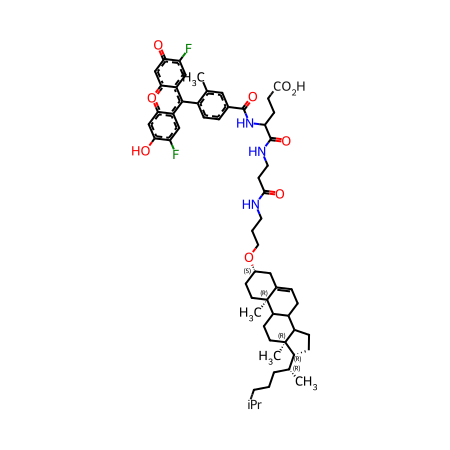 Cc1cc(C(=O)NC(CCC(=O)O)C(=O)NCCC(=O)NCCCO[C@H]2CC[C@@]3(C)C(=CCC4C3CC[C@@]3(C)C4CC[C@@H]3[C@H](C)CCCC(C)C)C2)ccc1-c1c2cc(F)c(=O)cc-2oc2cc(O)c(F)cc12